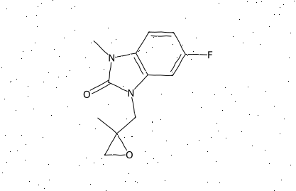 Cn1c(=O)n(CC2(C)CO2)c2cc(F)ccc21